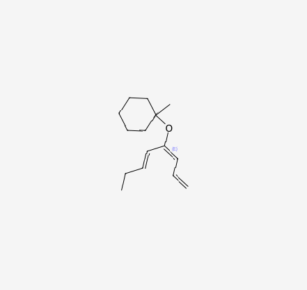 C=C/C=C(\C=CCC)OC1(C)CCCCC1